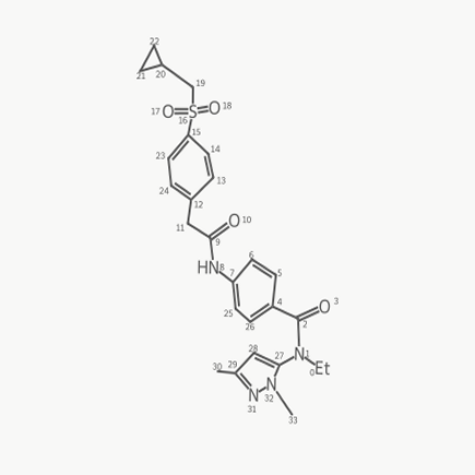 CCN(C(=O)c1ccc(NC(=O)Cc2ccc(S(=O)(=O)CC3CC3)cc2)cc1)c1cc(C)nn1C